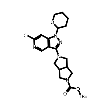 CC(C)(C)OC(=O)N1CC2CN(c3nn(C4CCCCO4)c4cc(Cl)ncc34)CC2C1